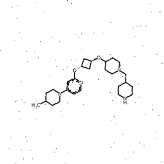 CC1CCN(c2ccnc(O[C@H]3C[C@H](OC4CCN(CC5CCNCC5)CC4)C3)c2)CC1